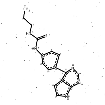 CCCNC(=S)Nc1ccc(-c2ncnc3[nH]ccc23)cc1